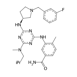 Cc1ccc(C(N)=O)cc1Nc1nc(N[C@H]2CCN(Cc3cccc(F)c3)C2)nc(N(C)CC(C)C)n1